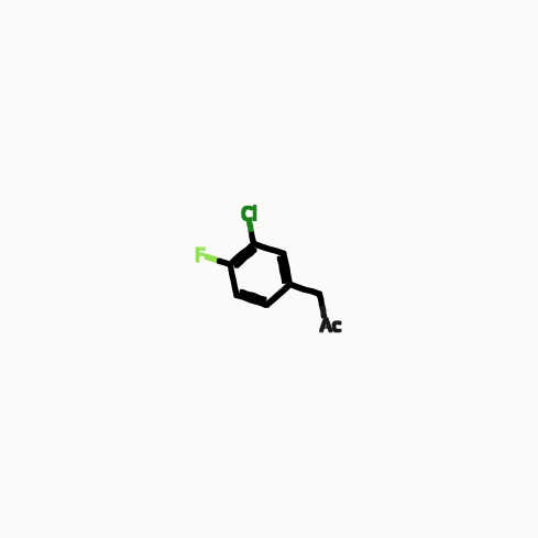 [CH2]C(=O)Cc1ccc(F)c(Cl)c1